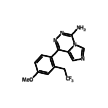 COc1ccc(-c2nnc(N)n3cncc23)c(CC(F)(F)F)c1